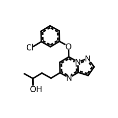 CC(O)CCc1cc(Oc2cccc(Cl)c2)n2nccc2n1